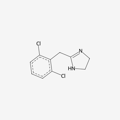 Clc1cccc(Cl)c1CC1=NCCN1